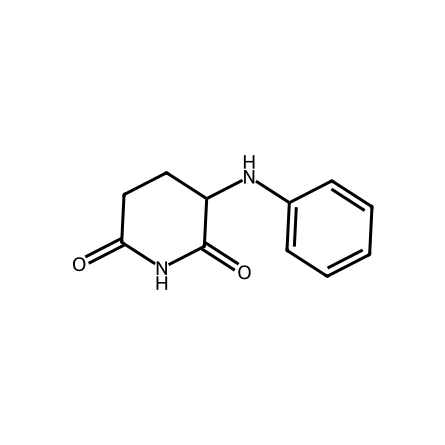 O=C1CCC(Nc2ccccc2)C(=O)N1